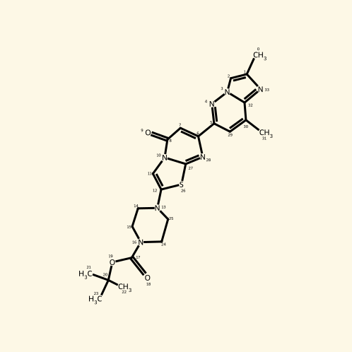 Cc1cn2nc(-c3cc(=O)n4cc(N5CCN(C(=O)OC(C)(C)C)CC5)sc4n3)cc(C)c2n1